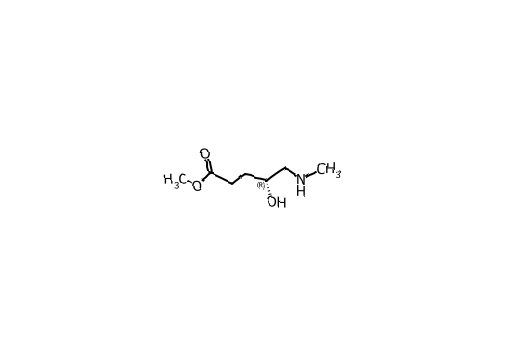 CNC[C@H](O)CCC(=O)OC